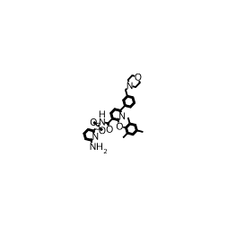 Cc1cc(C)c(Oc2nc(-c3cccc(CN4CCOCC4)c3)ccc2C(=O)NS(=O)(=O)c2cccc(N)n2)c(C)c1